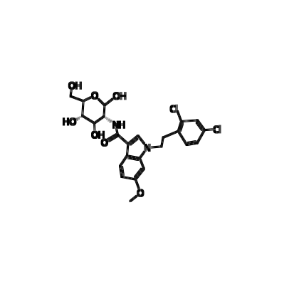 COc1ccc2c(C(=O)N[C@H]3C(O)OC(CO)[C@@H](O)C3O)cn(CCc3ccc(Cl)cc3Cl)c2c1